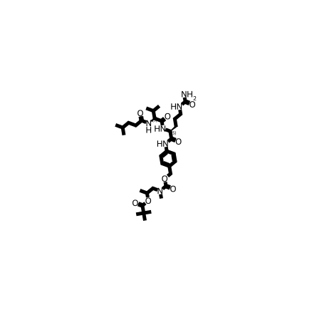 CC(C)CCC(=O)N[C@H](C(=O)N[C@@H](CCCNC(N)=O)C(=O)Nc1ccc(COC(=O)N(C)CC(C)OC(=O)C(C)(C)C)cc1)C(C)C